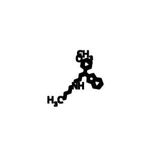 CCCCCNCC/C=C(/c1cccc(OC)c1)C1Cc2ccccc2C1